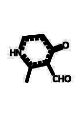 Cc1[nH]ccc(=O)c1C=O